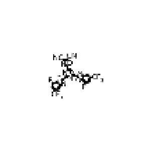 N#Cc1nc(-c2nc(-c3nc4cc(C(F)(F)F)cc(F)c4o3)nc(-c3nc4cc(C(F)(F)F)cc(F)c4o3)n2)oc1C#N